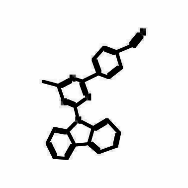 Cc1nc(-c2ccc(C#N)cc2)nc(-n2c3ccccc3c3ccccc32)n1